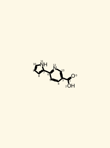 O=C(O)c1ccc(-c2ccc[nH]2)nc1